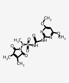 COc1cc(OC)nc(NC(=O)NS(=O)(=O)N(C)N2C(=O)C(C)=C(C)C2=O)n1